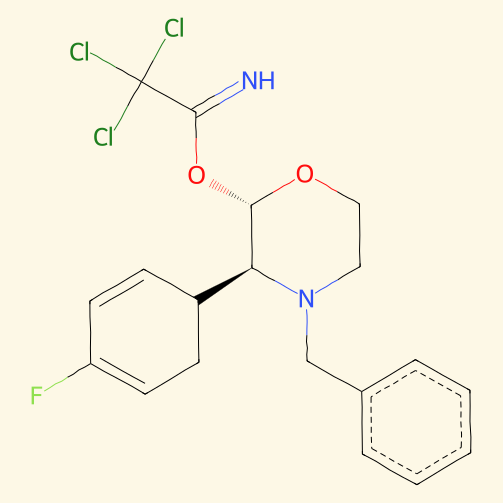 N=C(O[C@@H]1OCCN(Cc2ccccc2)[C@H]1C1C=CC(F)=CC1)C(Cl)(Cl)Cl